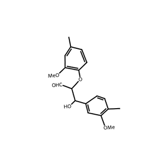 COc1cc(C(O)C(C=O)Oc2ccc(C)cc2OC)ccc1C